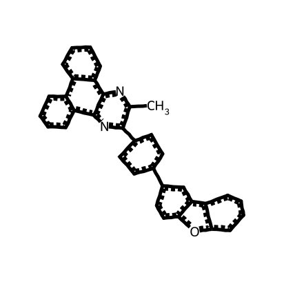 Cc1nc2c3ccccc3c3ccccc3c2nc1-c1ccc(-c2ccc3oc4ccccc4c3c2)cc1